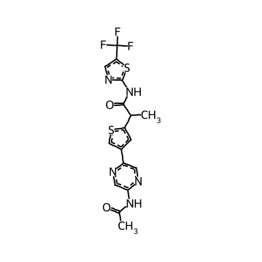 CC(=O)Nc1cnc(-c2csc(C(C)C(=O)Nc3ncc(C(F)(F)F)s3)c2)cn1